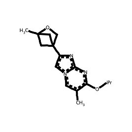 Cc1cn2cc(C34COC(C)(C3)C4)nc2nc1OC(C)C